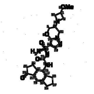 COC1CN(C2COc3c(S(N)(=O)=NC(=O)Nc4c5c(cc6c4CCC6=O)CCC5)cnn3C2)C1